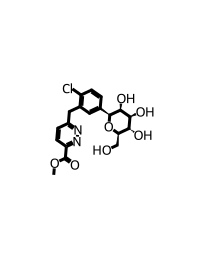 COC(=O)c1ccc(Cc2cc([C@@H]3O[C@H](CO)[C@@H](O)[C@H](O)[C@@H]3O)ccc2Cl)nn1